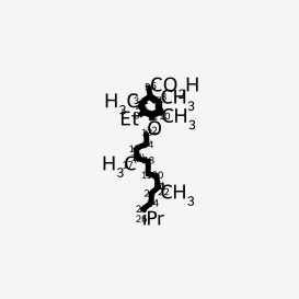 CCc1c(C)c(CC(=O)O)c(C)c(C)c1OCCC[C@H](C)CCC[C@H](C)CCCC(C)C